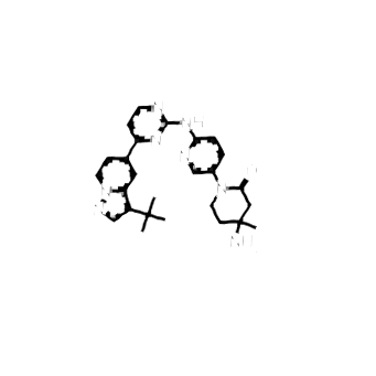 CC1(N)CCN(c2ccc(Nc3nccc(-c4ccn5ncc(C(C)(C)C)c5c4)n3)nc2)C(=O)C1